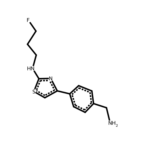 NCc1ccc(-c2csc(NCCCF)n2)cc1